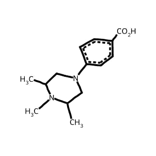 CC1CN(c2ccc(C(=O)O)cc2)CC(C)N1C